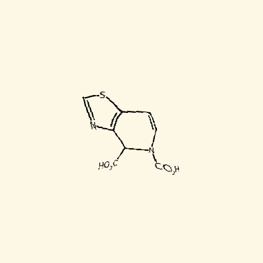 O=C(O)C1c2ncsc2C=CN1C(=O)O